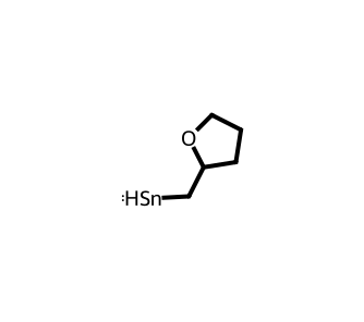 [SnH][CH2]C1CCCO1